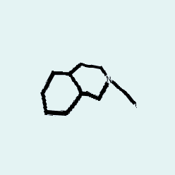 ICN1CCC2CCCCC2C1